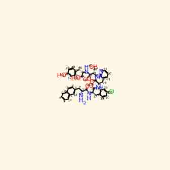 N[C@H](Cc1ccc2ccccc2c1)C(=O)N[C@H](Cc1ccc(Cl)cc1)C(=O)N[C@H](Cc1cccnc1)C(=O)N[C@@H](CO)C(=O)N[C@@H](Cc1ccc(O)cc1)C(=O)O